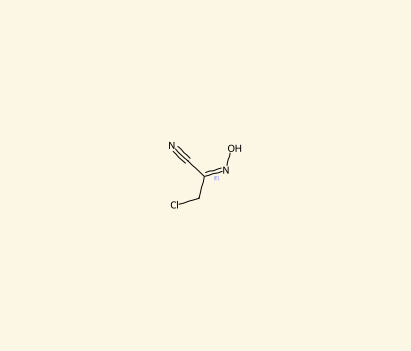 N#C/C(CCl)=N\O